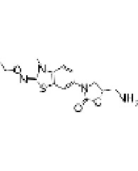 CCON=c1sc2cc(N3CC(CN)OC3=O)ccc2n1C